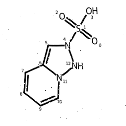 O=S(=O)(O)N1C=C2C=CC=CN2N1